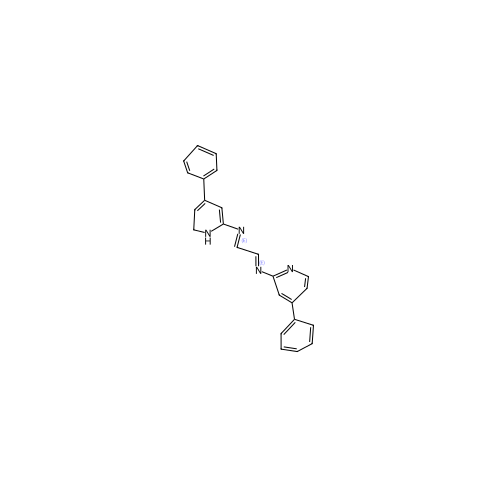 C1=C(/N=C/C=N/c2cc(-c3ccccc3)ccn2)NCC=C1c1ccccc1